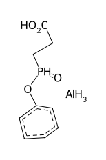 O=C(O)CC[PH](=O)Oc1ccccc1.[AlH3]